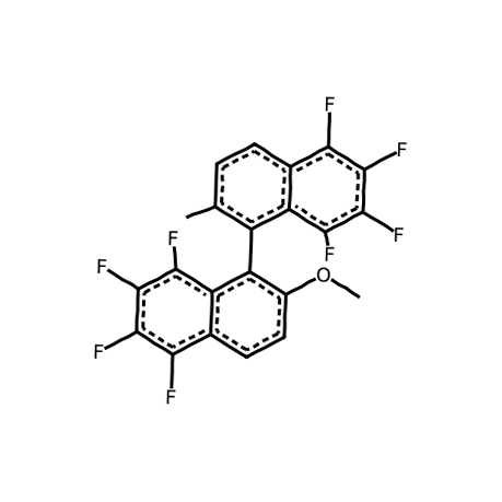 COc1ccc2c(F)c(F)c(F)c(F)c2c1-c1c(C)ccc2c(F)c(F)c(F)c(F)c12